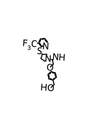 N=C(COc1ccc(CO)cc1)N1CCC(Sc2ncccc2C(F)(F)F)C1